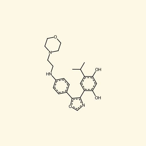 CC(C)c1cc(-c2ncoc2-c2ccc(NCCN3CCOCC3)cc2)c(O)cc1O